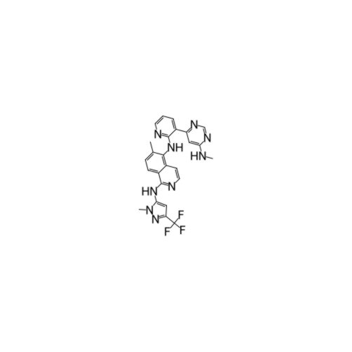 CNc1cc(-c2cccnc2Nc2c(C)ccc3c(Nc4cc(C(F)(F)F)nn4C)nccc23)ncn1